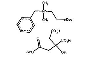 CC(=O)OC(=O)CC(O)(CC(=O)O)C(=O)O.CCCCCCCCCCCC[N+](C)(C)Cc1ccccc1